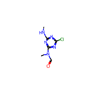 CNc1nc(Cl)nc(N(C)C=O)n1